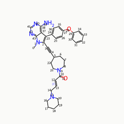 Cn1c(C#CC2CCCN(C(=O)/C=C/CN3CCCCC3)CC2)c(-c2ccc(Oc3ccccc3)cc2)c2c(N)ncnc21